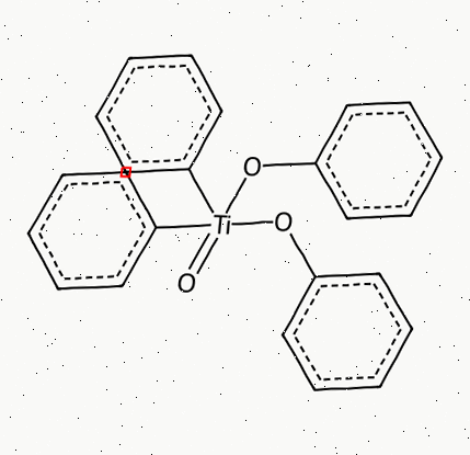 [O]=[Ti]([O]c1ccccc1)([O]c1ccccc1)([c]1ccccc1)[c]1ccccc1